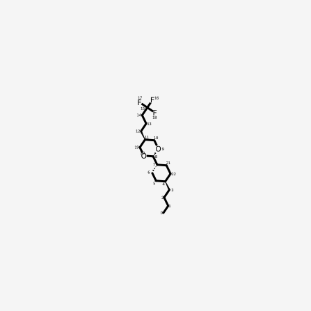 CCCC[C@H]1CC[C@H]([C@H]2OC[C@H](CCCC(F)(F)F)CO2)CC1